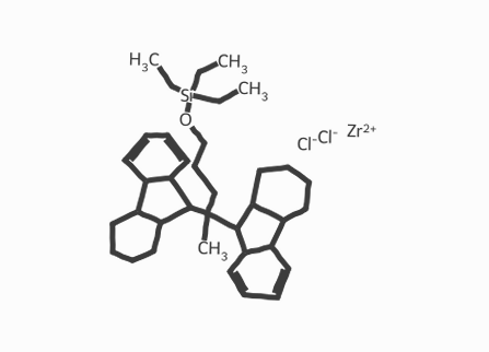 CC[Si](CC)(CC)OCCCC(C)(C1C2C=CC=CC2C2CCCCC21)C1C2C=CC=CC2C2CCCCC21.[Cl-].[Cl-].[Zr+2]